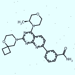 C[C@H]1COCCN1c1nc(N2CCOC3(CCC3)C2)nc2nc(-c3cccc(C(N)=O)c3)ccc12